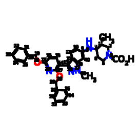 C[C@@H]1CN(C(=O)O)CC[C@H]1Nc1ccc2c(-c3ccc(OCc4ccccc4)nc3OCc3ccccc3)nn(C)c2c1